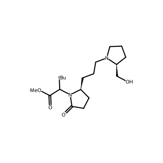 COC(=O)C(N1C(=O)CC[C@@H]1CCCN1CCC[C@H]1CO)C(C)(C)C